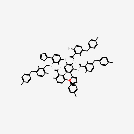 Cc1ccc(Cc2ccc(F)c(C(=O)Nc3[c]([Ti][c]4ccc(C5=CC=CC5)c(NC(=O)c5c(F)ccc(Cc6ccc(C)cc6)c5F)c4NC(=O)c4c(F)ccc(Cc5ccc(C)cc5)c4F)ccc(C4=CC=CC4)c3NC(=O)c3c(F)ccc(Cc4ccc(C)cc4)c3F)c2F)cc1